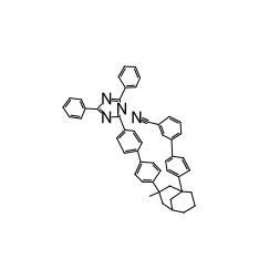 CC1(c2ccc(-c3ccc(-c4nc(-c5ccccc5)nc(-c5ccccc5)n4)cc3)cc2)CC2CCCC(c3ccc(-c4cccc(C#N)c4)cc3)(C2)C1